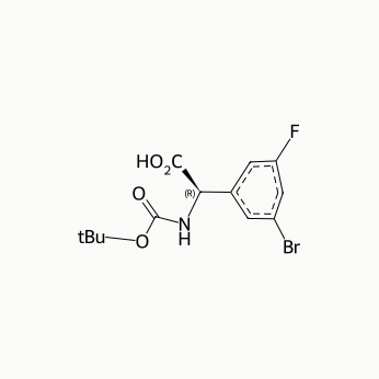 CC(C)(C)OC(=O)N[C@@H](C(=O)O)c1cc(F)cc(Br)c1